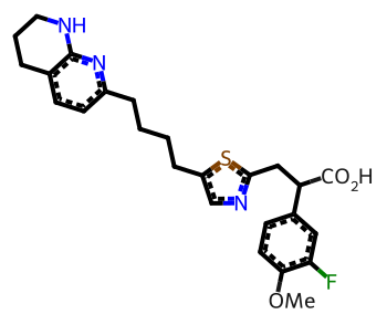 COc1ccc(C(Cc2ncc(CCCCc3ccc4c(n3)NCCC4)s2)C(=O)O)cc1F